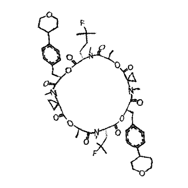 C[C@H]1OC(=O)C2(CC2)N(C)C(=O)[C@@H](Cc2ccc(C3CCOCC3)cc2)OC(=O)[C@H](CC(C)(C)F)N(C)C(=O)[C@@H](C)OC(=O)C2(CC2)N(C)C(=O)[C@@H](Cc2ccc(C3CCOCC3)cc2)OC(=O)[C@H](CCC(C)(C)F)N(C)C1=O